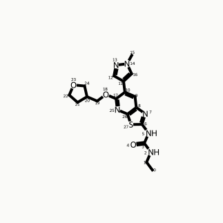 CCNC(=O)Nc1nc2cc(-c3cnn(C)c3)c(OCC3CCOC3)nc2s1